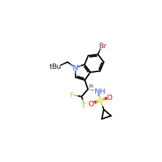 CC(C)(C)Cn1cc([C@H](NS(=O)(=O)C2CC2)C(F)F)c2ccc(Br)cc21